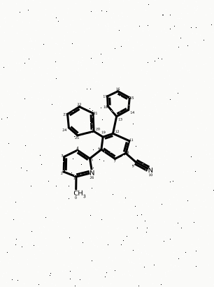 Cc1cccc(-c2cc(C#N)cc(-c3ccccc3)c2-c2ccccc2)n1